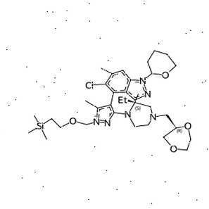 CC[C@@]1(C)CN(C[C@@H]2COCCO2)CCN1c1nn(COCC[Si](C)(C)C)c(C)c1-c1c(Cl)c(C)cc2c1cnn2C1CCCCO1